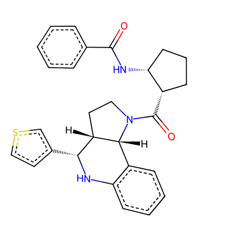 O=C(N[C@@H]1CCC[C@@H]1C(=O)N1CC[C@H]2[C@@H](c3ccsc3)Nc3ccccc3[C@H]21)c1ccccc1